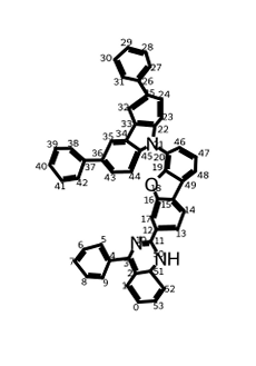 C1=CC2=C(c3ccccc3)N=C(c3ccc4c(c3)oc3c(-n5c6ccc(-c7ccccc7)cc6c6cc(-c7ccccc7)ccc65)cccc34)NC2C=C1